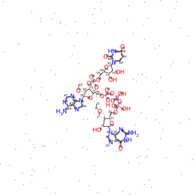 CCOC[C@H]1[C@@H](O)[C@H](n2c[n+](C)c3c(=O)[nH]c(N)nc32)O[C@@H]1COP(=O)(O)OP(=O)(O)OP(=O)(O)OCC1O[C@@H](n2cnc3c(N)ncnc32)[C@H](OC)[C@@H]1OP(=O)([O-])OC[C@H]1O[C@@H](n2ccc(=O)[nH]c2=O)[C@H](O)[C@@H]1O